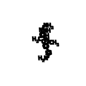 Cc1cc2nc(CN)[nH]c2cc1C(=O)N[C@H](C)c1cccc(-c2ccc(CN)s2)c1